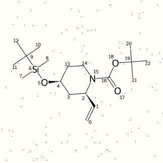 C=C[C@H]1C[C@@H](O[Si](C)(C)C(C)(C)C)CCN1C(=O)OC(C)(C)C